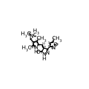 Cc1cc(C2=NNC(=O)C2=Cc2[nH]c(C)c(CN(C)C)c2C)no1